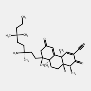 CCCC(C)(C)CC[C@](C)(N)CC[C@]1(C)CC(=O)C=C2[C@@]3(C)C=C(C#N)C(=O)[C@@H](C)[C@@H]3CC[C@]21C